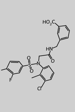 Cc1ccc(S(=O)(=O)N(CC(=O)NCc2cccc(C(=O)O)c2)c2cccc(Cl)c2C)cc1F